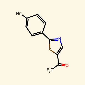 N#Cc1ccc(-c2ncc(C(=O)C(F)(F)F)s2)cc1